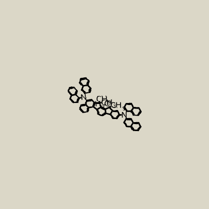 CC1(C)c2cc(N(c3ccc4ccccc4c3)c3cccc4ccccc34)ccc2-c2ccc3c(c21)C(C)(C)c1cc(N(c2ccc4ccccc4c2)c2cccc4ccccc24)c2ccccc2c1-3